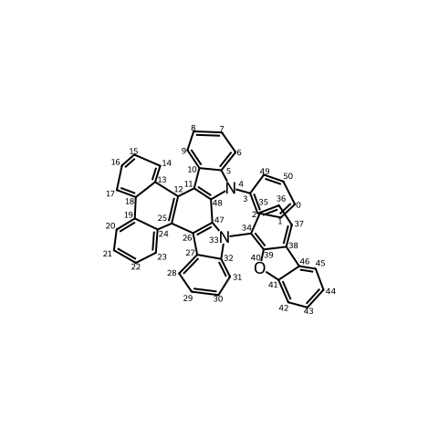 c1ccc(-n2c3ccccc3c3c4c5ccccc5c5ccccc5c4c4c5ccccc5n(-c5cccc6c5oc5ccccc56)c4c32)cc1